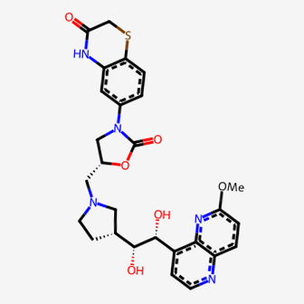 COc1ccc2nccc([C@@H](O)[C@H](O)[C@@H]3CCN(C[C@@H]4CN(c5ccc6c(c5)NC(=O)CS6)C(=O)O4)C3)c2n1